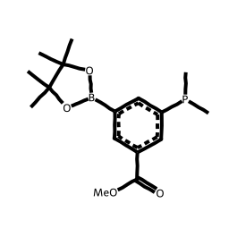 COC(=O)c1cc(B2OC(C)(C)C(C)(C)O2)cc(P(C)C)c1